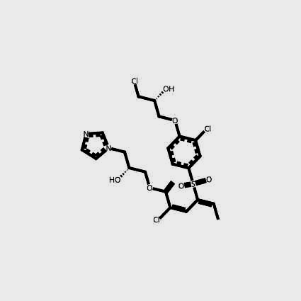 C=C(OC[C@H](O)Cn1ccnc1)/C(Cl)=C\C(=C/C)S(=O)(=O)c1ccc(OC[C@@H](O)CCl)c(Cl)c1